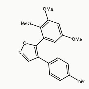 CCCc1ccc(-c2cnoc2-c2cc(OC)cc(OC)c2OC)cc1